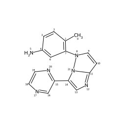 Cc1ccc(N)cc1-n1ccc2ncc(-c3cnccn3)n21